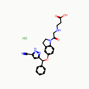 Cl.N#Cc1cc(C(Oc2ccc3c(c2)CCN3C(=O)CNCCC(=O)O)c2ccccc2)n[nH]1